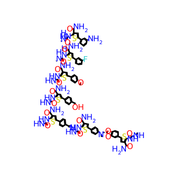 CNC(=O)Nc1sc(-c2ccc(C#N)cc2)cc1C(N)=O.CNC(=O)Nc1sc(-c2ccc(CO)cc2)cc1C(N)=O.CNC(=O)Nc1sc(-c2ccc(N(C)C)cc2)cc1C(N)=O.CNC(=O)Nc1sc(-c2ccc(OC)cc2)cc1C(N)=O.CNC(=O)Nc1sc(-c2ccc3c(c2)OCO3)cc1C(N)=O.CNC(=O)Nc1sc(-c2cccc(F)c2)cc1C(N)=O.CNC(=O)Nc1sc(-c2cccc(N)c2)cc1C(N)=O